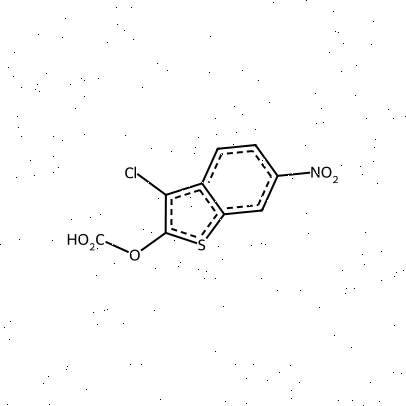 O=C(O)Oc1sc2cc([N+](=O)[O-])ccc2c1Cl